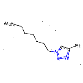 CCc1cn(CCCCCCNC)nn1